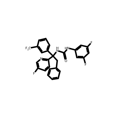 O=C(Nc1cc(F)cc(F)c1)NC(Cc1ccccc1)(c1cccc(C(F)(F)F)c1)c1ccc(F)cn1